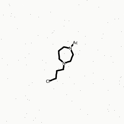 CC(=O)N1CCCN(CCCCl)CC1